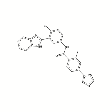 Cc1cc(-c2ccoc2)ccc1C(=O)Nc1ccc(Cl)c(-c2nc3ccccc3[nH]2)c1